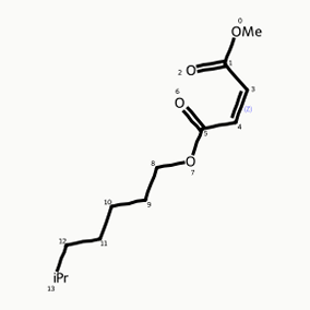 COC(=O)/C=C\C(=O)OCCCCCC(C)C